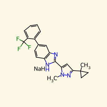 Cn1nc(C2(C)CC2)cc1-c1nc2cc(-c3ccccc3C(F)(F)F)ccc2[nH]1.[NaH]